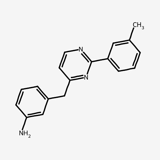 Cc1cccc(-c2nccc(Cc3cccc(N)c3)n2)c1